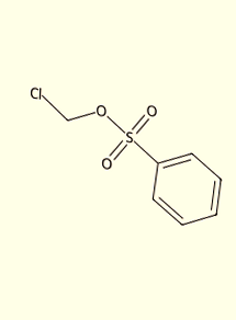 O=S(=O)(OCCl)c1ccccc1